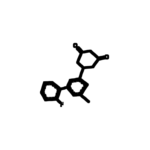 Cc1cc(-c2ccccc2F)cc(C2CC(=O)CC(=O)C2)c1